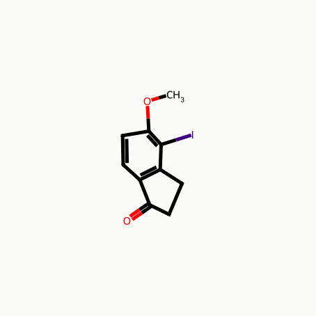 COc1ccc2c(c1I)CCC2=O